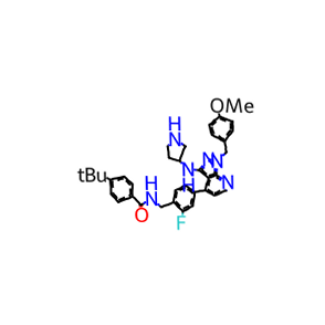 COc1ccc(Cn2nc(NC3CCNC3)c3c(-c4ccc(CNC(=O)c5ccc(C(C)(C)C)cc5)c(F)c4)ccnc32)cc1